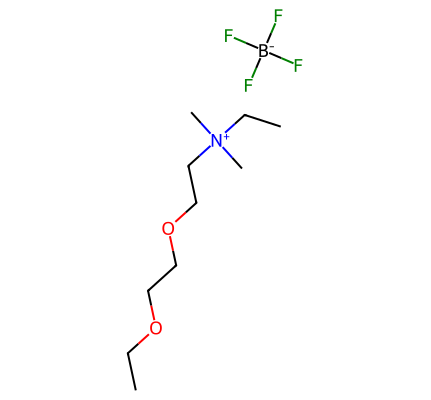 CCOCCOCC[N+](C)(C)CC.F[B-](F)(F)F